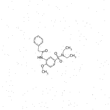 CCN(CC)S(=O)(=O)c1ccc(OC)c(NC(=O)Cc2ccccc2)c1